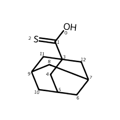 OC(=S)C12CC3CC(CC(C3)C1)C2